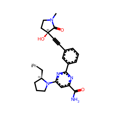 CC(C)C[C@@H]1CCCN1c1cc(C(N)=O)nc(-c2cccc(C#C[C@]3(O)CCN(C)C3=O)c2)n1